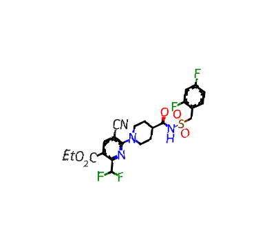 CCOC(=O)c1cc(C#N)c(N2CCC(C(=O)NS(=O)(=O)Cc3ccc(F)cc3F)CC2)nc1C(F)F